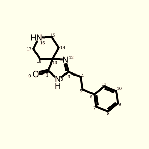 O=C1NC(CCc2ccccc2)=NC12CCNCC2